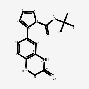 CC(C)(C)OC(=O)n1cccc1-c1ccc2c(c1)NC(=O)CO2